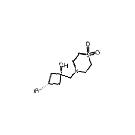 CC(C)[C@H]1C[C@@](O)(CN2CCS(=O)(=O)CC2)C1